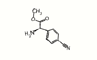 COC(=O)[C@H](N)c1ccc(C#N)cc1